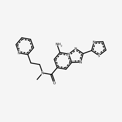 CN(CCc1ccccn1)C(=O)c1cc(N)n2nc(-c3nccs3)nc2c1